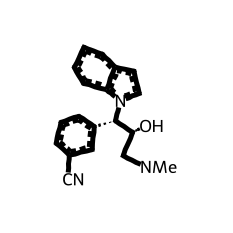 CNC[C@@H](O)[C@H](c1cccc(C#N)c1)n1ccc2ccccc21